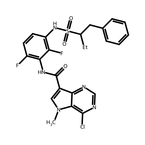 CCC(Cc1ccccc1)S(=O)(=O)Nc1ccc(F)c(NC(=O)c2cn(C)c3c(Cl)ncnc23)c1F